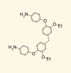 CCOc1cc(Cc2ccc(Oc3ccc(N)cc3)c(OCC)c2)ccc1Oc1ccc(N)cc1